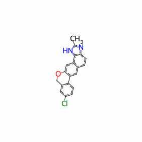 Cc1nc2ccc3cc4c(cc3c2[nH]1)OCc1cc(Cl)ccc1-4